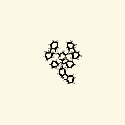 c1ccc([Si](c2ccccc2)(c2ccc3sc4ccccc4c3c2)c2nc(-n3c4ccccc4c4ccccc43)cc(-n3c4ccccc4c4ccccc43)n2)cc1